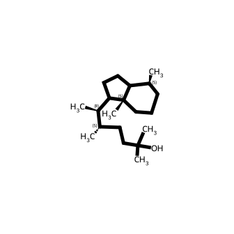 C[C@H]1CCC[C@@]2(C)C1CCC2[C@H](C)[C@@H](C)CCC(C)(C)O